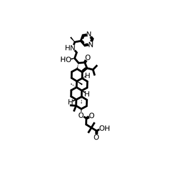 CC(C)C1=C2C(CC[C@]3(C)[C@@H]2CC[C@@H]2[C@@]4(C)CC[C@H](OC(=O)CC(C)(C)C(=O)O)C(C)(C)[C@@H]4CC[C@]23C)[C@H]([C@@H](O)CN[C@@H](C)c2cncnc2)C1=O